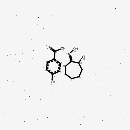 Cc1ccc(C(=O)O)cc1.O/N=C1/CCCCCC1Cl